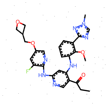 CCC(=O)c1cnc(Nc2ncc(OCC3COC3)cc2F)cc1Nc1cccc(-c2ncn(C)n2)c1OC